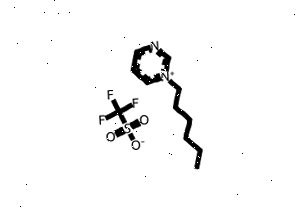 CCCCCC[n+]1cccnc1.O=S(=O)([O-])C(F)(F)F